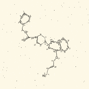 O=C(OCc1ccccc1)N1CCN(c2nc(OC/C=C/CO)c3ccccc3n2)CC1